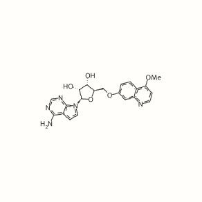 COc1ccnc2cc(OC[C@H]3O[C@@H](n4ccc5c(N)ncnc54)[C@H](O)[C@@H]3O)ccc12